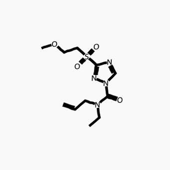 C=CCN(CC)C(=O)n1cnc(S(=O)(=O)CCOC)n1